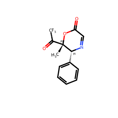 C[C@@]1(C(=O)C(F)(F)F)OC(=O)C=N[C@@H]1c1ccccc1